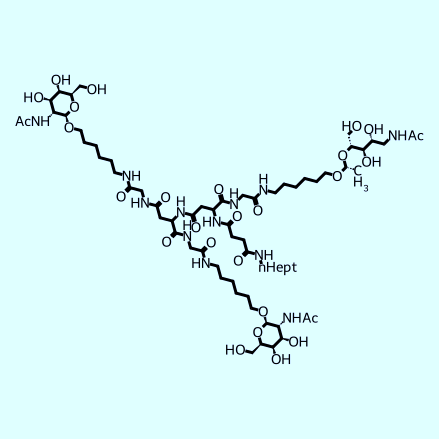 CCCCCCCNC(=O)CCC(=O)NC(CC(=O)NC(CC(=O)NCC(=O)NCCCCCCO[C@@H]1O[C@H](CO)[C@H](O)[C@H](O)[C@H]1NC(C)=O)C(=O)NCC(=O)NCCCCCCO[C@@H]1O[C@H](CO)[C@H](O)[C@H](O)[C@H]1NC(C)=O)C(=O)NCC(=O)NCCCCCCO[C@@H](C)O[C@H](CO)[C@H](O)[C@H](O)CNC(C)=O